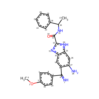 COc1ccc(C(=N)c2cc3nc(C(=O)NC(C)c4ccccc4)[nH]c3cc2N)cc1